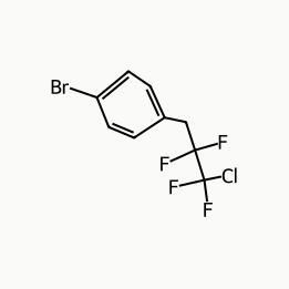 FC(F)(Cl)C(F)(F)Cc1ccc(Br)cc1